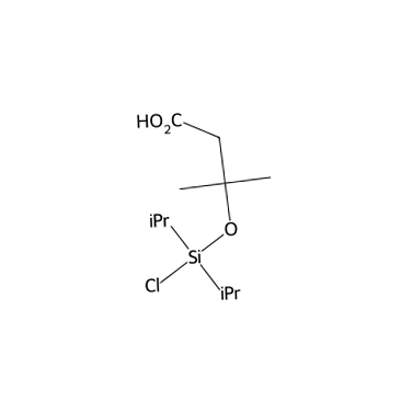 CC(C)[Si](Cl)(OC(C)(C)CC(=O)O)C(C)C